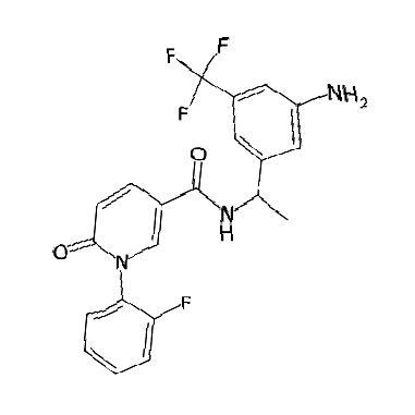 CC(NC(=O)c1ccc(=O)n(-c2ccccc2F)c1)c1cc(N)cc(C(F)(F)F)c1